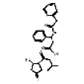 CC(C)[C@@H](NC(=O)C[C@H](NC(=O)Cc1ccccn1)c1ccccc1)C(=O)[C@H]1CC(=O)N[C@H]1O